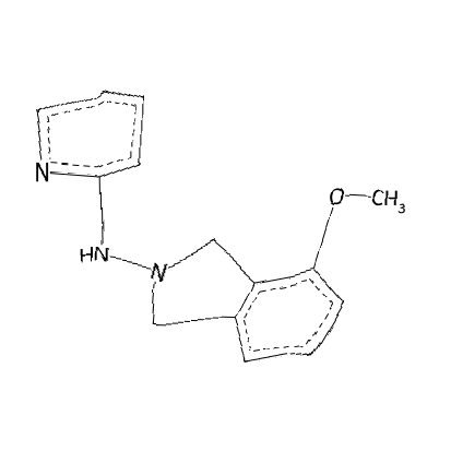 COc1cccc2c1CN(Nc1ccccn1)C2